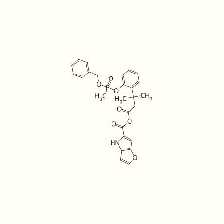 CC(C)(CC(=O)OC(=O)c1cc2occc2[nH]1)c1ccccc1OP(C)(=O)OCc1ccccc1